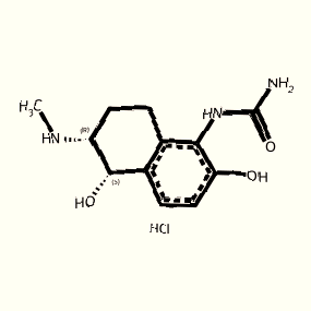 CN[C@@H]1CCc2c(ccc(O)c2NC(N)=O)[C@@H]1O.Cl